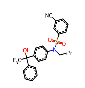 CC(C)CN(c1ccc(C(O)(c2ccccc2)C(F)(F)F)cc1)S(=O)(=O)c1cccc(C#N)c1